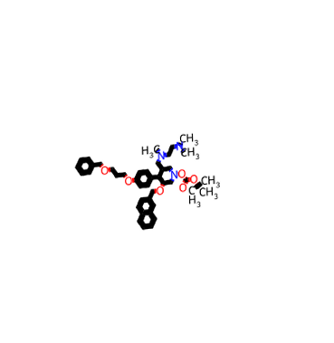 CN(C)CCN(C)CC1CN(OC(=O)OC(C)(C)C)CC(OCc2ccc3ccccc3c2)C1c1ccc(OCCCOCc2ccccc2)cc1